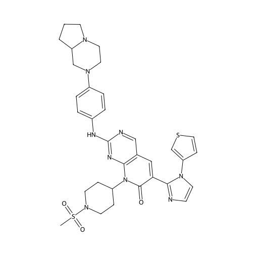 CS(=O)(=O)N1CCC(n2c(=O)c(-c3nccn3-c3ccsc3)cc3cnc(Nc4ccc(N5CCN6CCCC6C5)cc4)nc32)CC1